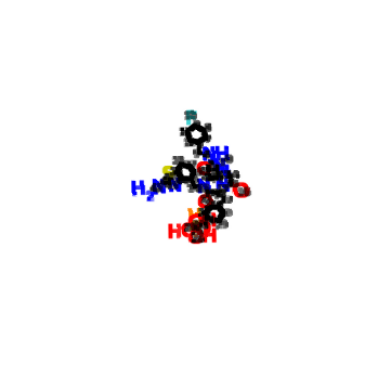 CN(C(=O)NCc1ccc(F)cc1)N1CC(=O)N2[C@H](Cc3ccc(O[PH](O)(O)O)cc3)C(=O)N(Cc3cccc4sc(N)nc34)C[C@H]21